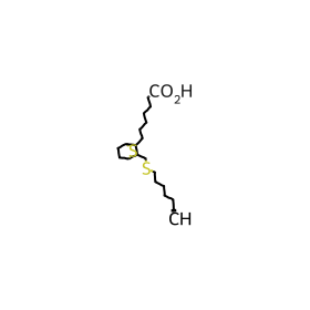 C#CCCCCCSCC1C2CCC(S2)C1CCCCCCC(=O)O